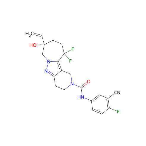 C=C[C@@]1(O)CCC(F)(F)c2c3c(nn2C1)CCN(C(=O)Nc1ccc(F)c(C#N)c1)C3